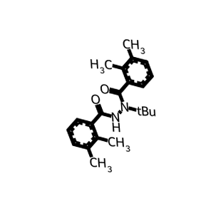 Cc1cccc(C(=O)NN(C(=O)c2cccc(C)c2C)C(C)(C)C)c1C